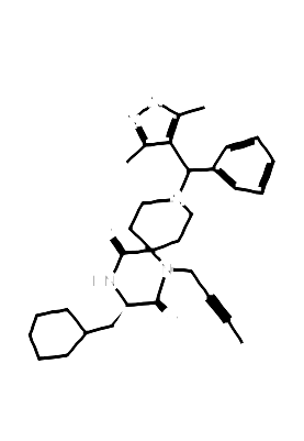 CC#CCN1C(=O)[C@@H](CC2CCCCC2)NC(=O)C12CCN(C(c1ccccc1)c1c(C)n[nH]c1C)CC2